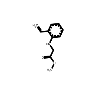 C=Cc1ccccc1NCC(=O)OC